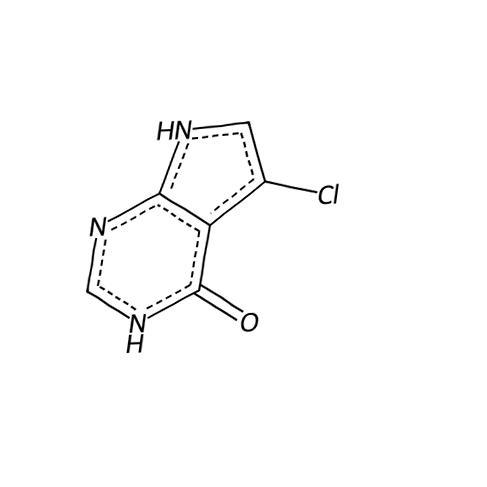 O=c1[nH]cnc2[nH]cc(Cl)c12